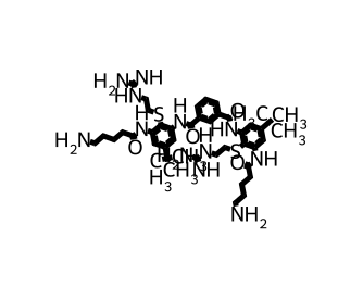 CC(C)(C)c1cc(NC(=O)CCCCN)c(SCCNC(=N)N)c(NC(=O)c2cccc(C(=O)Nc3cc(C(C)(C)C)cc(NC(=O)CCCCN)c3SCCNC(=N)N)c2)c1